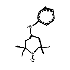 CC1(C)CC(Nc2ccccc2)CC(C)(C)N1[O]